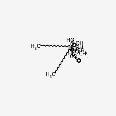 CCCCCCCCCCCCCCCCCCN(C(=O)CCCCCCCCCCCCCCCCC)[C@@H]1O[C@H](CO)[C@H](O)[C@H](O)[C@H]1NC(=O)[C@H](CC(C)C)NC(=O)OCc1ccccc1